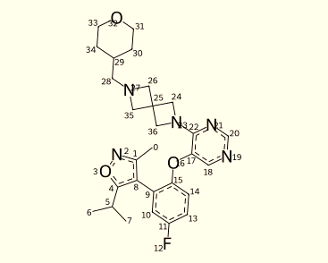 Cc1noc(C(C)C)c1-c1cc(F)ccc1Oc1cncnc1N1CC2(CN(CC3CCOCC3)C2)C1